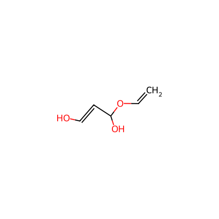 C=COC(O)C=CO